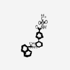 C[C@@H](N[C@H]1CCC[C@H](c2ccc(C(=O)NS(C)(=O)=O)cc2)C1)c1cccc2ccccc12